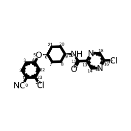 N#Cc1ccc(O[C@H]2CC[C@H](NC(=O)c3cnc(Cl)cn3)CC2)cc1Cl